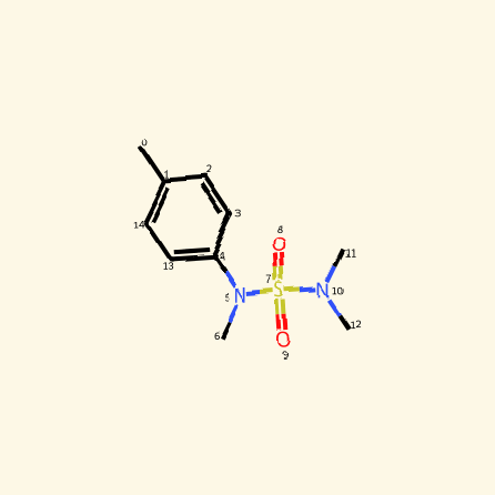 Cc1ccc(N(C)S(=O)(=O)N(C)C)cc1